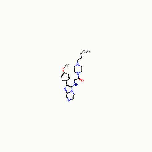 COCCCN1CCN(C(=O)CNc2c(-c3ccc(OC(F)(F)F)cc3)nc3cnccn23)CC1